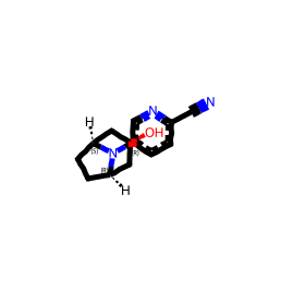 N#Cc1ccc(N2[C@@H]3CC[C@H]2C[C@@H](O)C3)cn1